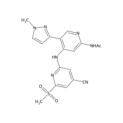 CC(=O)Nc1cc(Nc2cc(C#N)cc(S(C)(=O)=O)n2)c(-c2ccn(C)n2)cn1